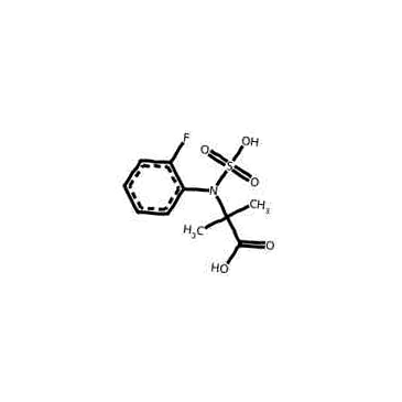 CC(C)(C(=O)O)N(c1ccccc1F)S(=O)(=O)O